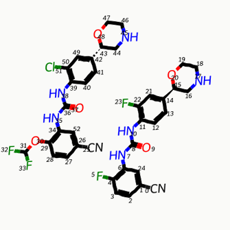 N#Cc1ccc(F)c(NC(=O)Nc2ccc([C@@H]3CNCCO3)cc2F)c1.N#Cc1ccc(OC(F)F)c(NC(=O)Nc2ccc([C@H]3CNCCO3)cc2Cl)c1